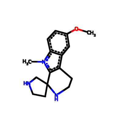 COc1ccc2c(c1)c1c(n2C)C2(CCNC2)NCC1